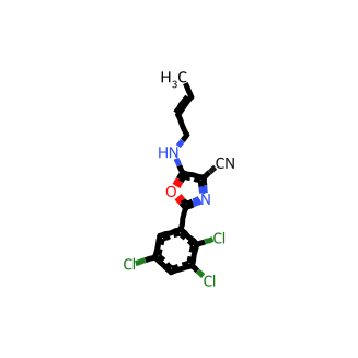 C/C=C/CNc1oc(-c2cc(Cl)cc(Cl)c2Cl)nc1C#N